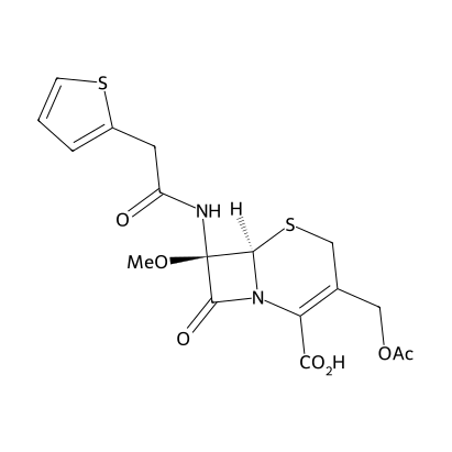 CO[C@]1(NC(=O)Cc2cccs2)C(=O)N2C(C(=O)O)=C(COC(C)=O)CS[C@@H]21